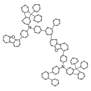 c1ccc(-c2cc(-c3ccc(N(c4ccc(-c5cccc6c5oc5ccccc56)cc4)c4ccc5c(c4)C(c4ccccc4)(c4ccccc4)c4ccccc4-5)cc3)cc(-c3ccc4oc5c(-c6ccc(N(c7ccc(-c8ccccc8-c8ccccc8)cc7)c7ccc8c(c7)C(c7ccccc7)(c7ccccc7)c7ccccc7-8)cc6)cccc5c4c3)c2)cc1